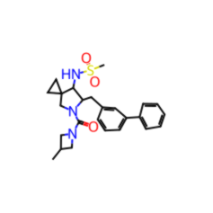 CC1CN(C(=O)N2CC3(CC3)C(NS(C)(=O)=O)C2Cc2cccc(-c3ccccc3)c2)C1